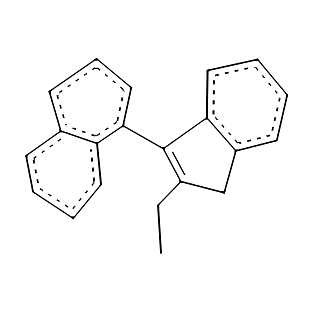 CCC1=C(c2cccc3ccccc23)c2ccccc2[CH]1